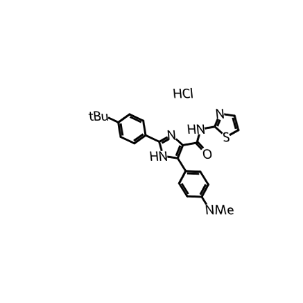 CNc1ccc(-c2[nH]c(-c3ccc(C(C)(C)C)cc3)nc2C(=O)Nc2nccs2)cc1.Cl